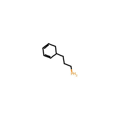 PCCCC1C=CC=CC1